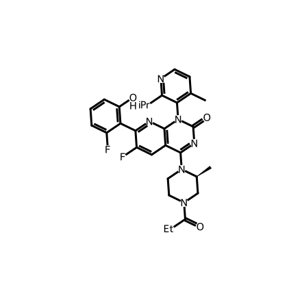 CCC(=O)N1CCN(c2nc(=O)n(-c3c(C)ccnc3C(C)C)c3nc(-c4c(O)cccc4F)c(F)cc23)[C@@H](C)C1